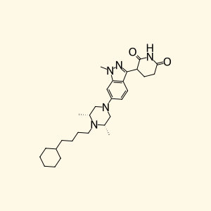 C[C@@H]1CN(c2ccc3c(C4CCC(=O)NC4=O)nn(C)c3c2)C[C@H](C)N1CCCCC1CCCCC1